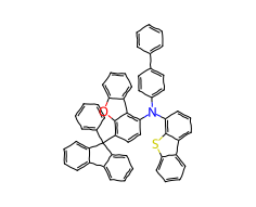 c1ccc(-c2ccc(N(c3cccc4c3sc3ccccc34)c3ccc(C4(c5ccccc5)c5ccccc5-c5ccccc54)c4oc5ccccc5c34)cc2)cc1